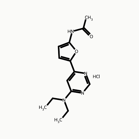 CCN(CC)c1cc(-c2ccc(NC(C)=O)o2)ncn1.Cl